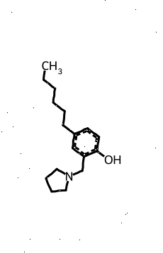 CCCCCCc1ccc(O)c(CN2CCCC2)c1